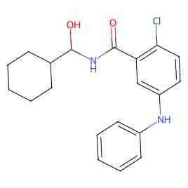 O=C(NC(O)C1CCCCC1)c1cc(Nc2ccccc2)ccc1Cl